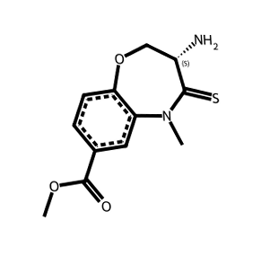 COC(=O)c1ccc2c(c1)N(C)C(=S)[C@@H](N)CO2